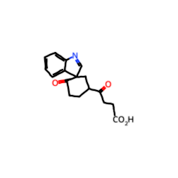 O=C(O)CCC(=O)C1CCC(=O)C2(C=Nc3ccccc32)C1